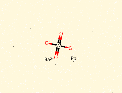 [Ba+2].[O]=[W](=[O])([O-])[O-].[Pb]